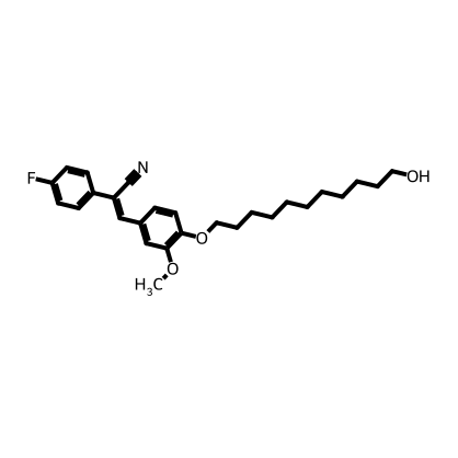 COc1cc(C=C(C#N)c2ccc(F)cc2)ccc1OCCCCCCCCCCCO